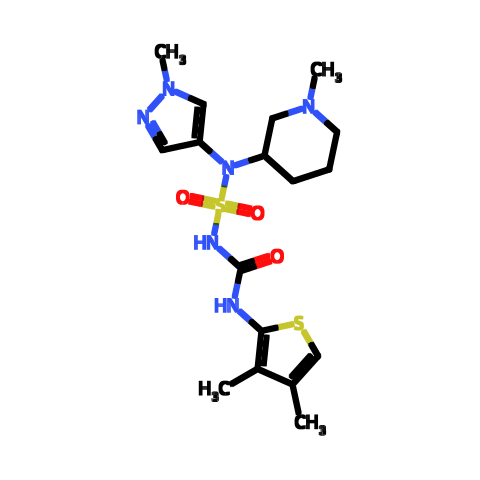 Cc1csc(NC(=O)NS(=O)(=O)N(c2cnn(C)c2)C2CCCN(C)C2)c1C